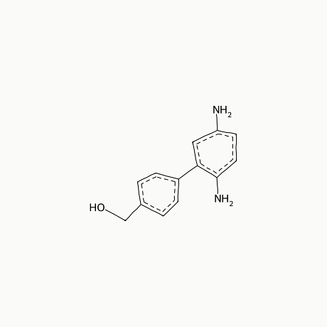 Nc1ccc(N)c(-c2ccc(CO)cc2)c1